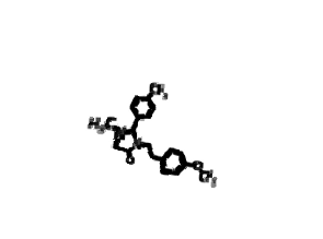 CN1CC(=O)N(CCc2ccc(OC(F)(F)F)cc2)C1c1ccc(C(F)(F)F)cc1